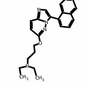 CCN(CC)CCCOc1ccc2ncc(-c3cccc4ccccc34)n2n1